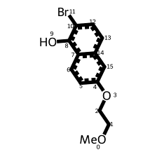 COCCOc1ccc2c(O)c(Br)ccc2c1